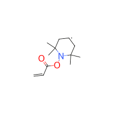 C=CC(=O)ON1C(C)(C)C[CH]CC1(C)C